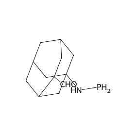 O=CC1CC2CC3CC1CC(NP)(C2)C3